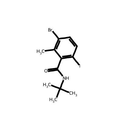 Cc1c(Br)ccc(I)c1C(=O)NC(C)(C)C